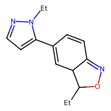 CCC1ON=C2C=CC(c3ccnn3CC)=CC21